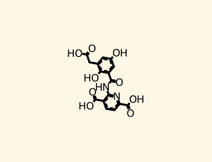 O=C(O)Cc1cc(O)cc(C(=O)Nc2nc(C(=O)O)ccc2C(=O)O)c1O